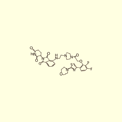 O=C1CCC(N2C(=O)c3cccc(NCCN4CCN(C(=O)COc5c(-c6csc(N7CCOCC7)n6)ccc(F)c5F)CC4)c3C2=O)C(=O)N1